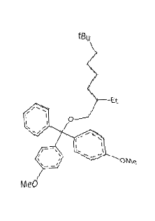 CCC(CCCCC(C)(C)C)COC(c1ccccc1)(c1ccc(OC)cc1)c1ccc(OC)cc1